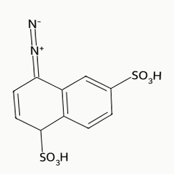 [N-]=[N+]=C1C=CC(S(=O)(=O)O)c2ccc(S(=O)(=O)O)cc21